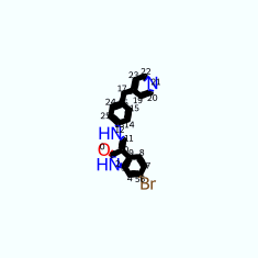 O=C1Nc2cc(Br)ccc2/C1=C/Nc1ccc(Cc2ccncc2)cc1